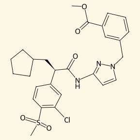 COC(=O)c1cccc(Cn2ccc(NC(=O)[C@H](CC3CCCC3)c3ccc(S(C)(=O)=O)c(Cl)c3)n2)c1